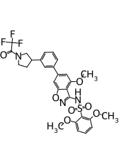 COc1cccc(OC)c1S(=O)(=O)Nc1noc2cc(-c3cccc(C4CCN(C(=O)C(F)(F)F)C4)c3)cc(OC)c12